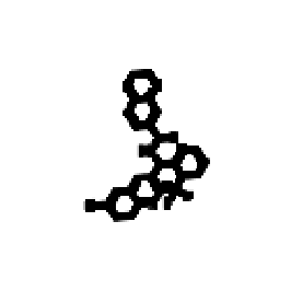 O=C(NC(c1cnc2ccc(Cl)cc2c1)c1ncccc1C(F)(F)F)c1ccc2cccnc2c1